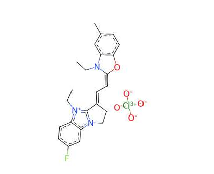 CCN1C(=CC=C2CCn3c2[n+](CC)c2ccc(F)cc23)Oc2ccc(C)cc21.[O-][Cl+3]([O-])([O-])[O-]